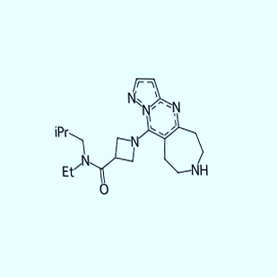 CCN(CC(C)C)C(=O)C1CN(c2c3c(nc4ccnn24)CCNCC3)C1